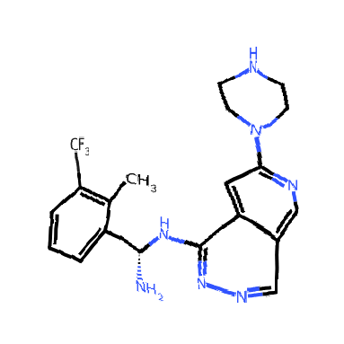 Cc1c([C@@H](N)Nc2nncc3cnc(N4CCNCC4)cc23)cccc1C(F)(F)F